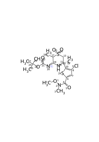 CON(C)C(=O)c1cc(Cl)c([C@]2(C)CS(=O)(=O)C(C)/C(=N\C(=O)OC(C)(C)C)N2)s1